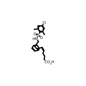 Cc1cc(Cl)cc(C)c1S(=O)(=O)NCC1C2C=CC(CC2)C1/C=C\CCCC(=O)O